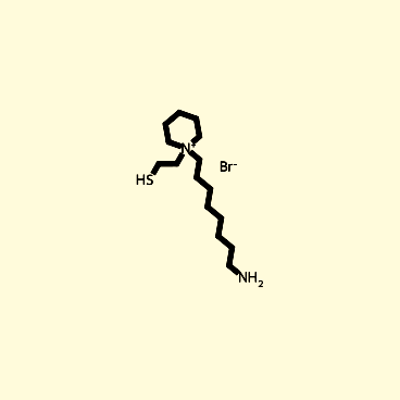 NCCCCCCCC[N+]1(CCS)CCCCC1.[Br-]